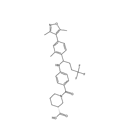 Cc1cc(-c2c(C)noc2C)ccc1C(CCC(F)(F)F)Nc1ccc(C(=O)N2CCC[C@@H](C(=O)O)C2)cc1